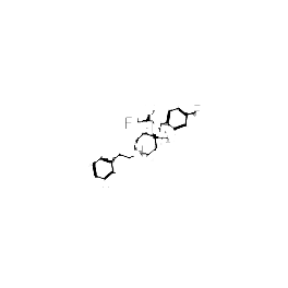 CCC(=O)N(c1ccc(F)cc1)C1(C(C)=O)CCN(CCc2ccccc2)CC1